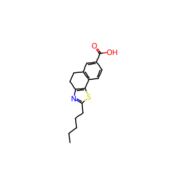 CCCCCc1nc2c(s1)-c1ccc(C(=O)O)cc1CC2